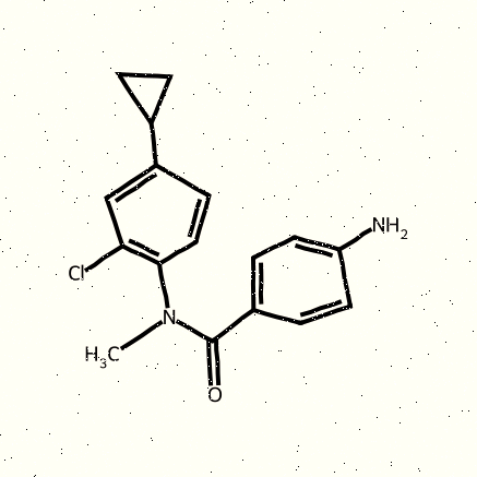 CN(C(=O)c1ccc(N)cc1)c1ccc(C2CC2)cc1Cl